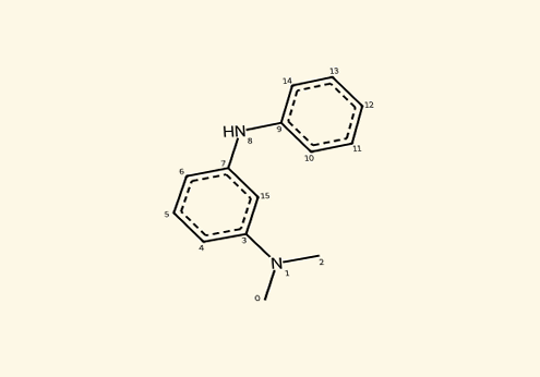 CN(C)c1cccc(Nc2ccccc2)c1